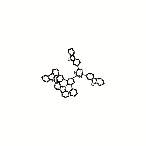 c1ccc(-c2cc(-c3nc(-c4ccc5c(c4)oc4ccccc45)nc(-c4ccc5c(c4)oc4ccccc45)n3)cc(-c3ccccc3)c2-n2c3ccccc3c3ccc(-n4c5ccccc5c5ccccc54)cc32)cc1